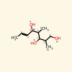 CC=C[C@@H](O)C(C)C(O)C(C)CO